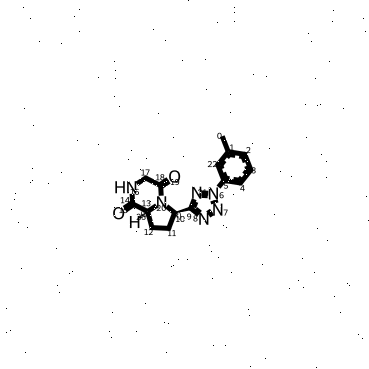 Cc1cccc(-n2nnc([C@H]3CC[C@H]4C(=O)NCC(=O)N34)n2)c1